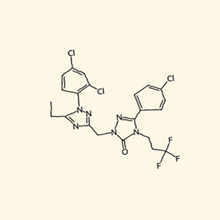 CCc1nc(Cn2nc(-c3ccc(Cl)cc3)n(CCC(F)(F)F)c2=O)nn1-c1ccc(Cl)cc1Cl